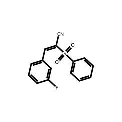 N#CC(=Cc1cccc(F)c1)S(=O)(=O)c1ccccc1